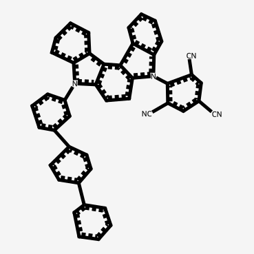 N#Cc1cc(C#N)c(-n2c3ccccc3c3c4c5ccccc5n(-c5cccc(-c6ccc(-c7ccccc7)cc6)c5)c4ccc32)c(C#N)c1